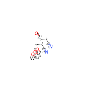 CCC#N.CCC#N.[C]=O.[C]=O.[C]=O.[C]=O.[W]